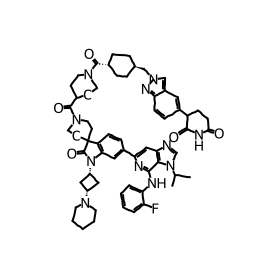 CC(C)n1cnc2cc(-c3ccc4c(c3)N([C@H]3C[C@@H](N5CCCCC5)C3)C(=O)C43CCN(C(=O)C4CCN(C(=O)[C@H]5CC[C@H](Cn6cc7cc(C8CCC(=O)NC8=O)ccc7n6)CC5)CC4)CC3)nc(Nc3ccccc3F)c21